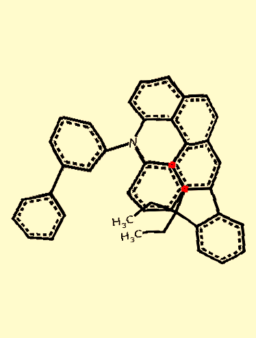 CCC1(CC)c2ccccc2-c2cc3ccc4cccc(N(c5ccccc5)c5cccc(-c6ccccc6)c5)c4c3cc21